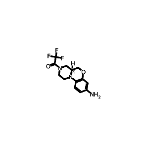 Nc1ccc2c(c1)OC[C@H]1CN(C(=O)C(F)(F)F)CCN21